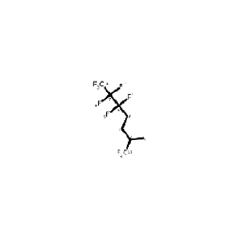 CC(CCC(F)(F)C(F)(F)C(F)(F)F)C(F)(F)F